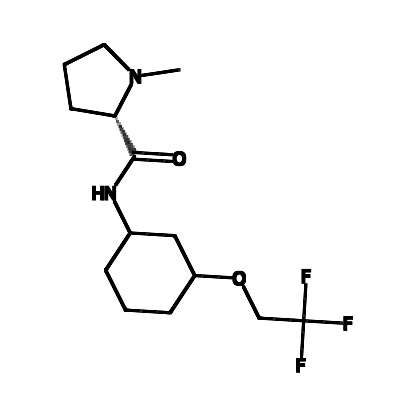 CN1CCC[C@H]1C(=O)NC1CCCC(OCC(F)(F)F)C1